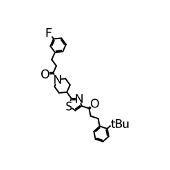 CC(C)(C)c1ccccc1CCC(=O)c1csc(C2CCN(C(=O)CCc3cccc(F)c3)CC2)n1